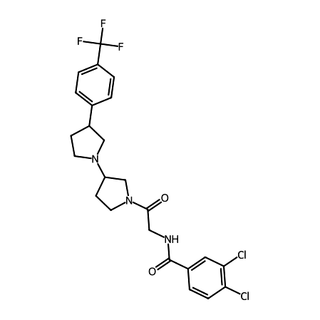 O=C(NCC(=O)N1CCC(N2CCC(c3ccc(C(F)(F)F)cc3)C2)C1)c1ccc(Cl)c(Cl)c1